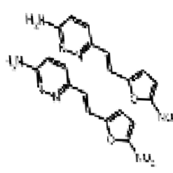 Nc1ccc(C=Cc2ccc([N+](=O)[O-])o2)nn1.Nc1ccc(C=Cc2ccc([N+](=O)[O-])o2)nn1